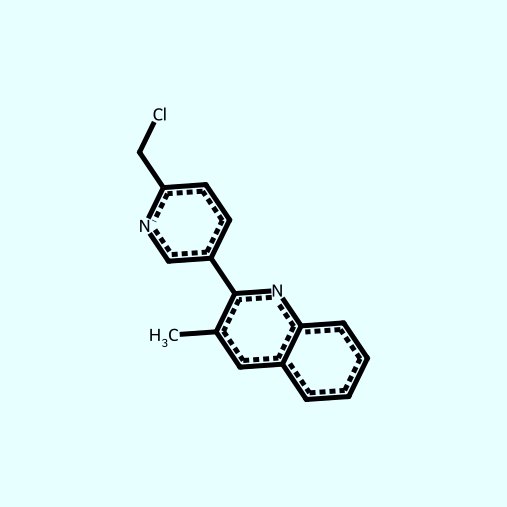 Cc1cc2ccccc2nc1-c1ccc(CCl)nc1